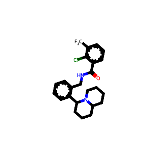 O=C(NCc1ccccc1C1CCCC2CCCCN21)c1cccc(C(F)(F)F)c1Cl